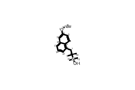 CCCCOc1ccc2c(CC(C)(C)[Si](C)(C)O)cccc2c1